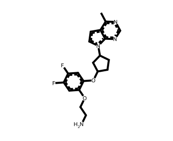 Cc1ncnc2c1ccn2C1CCC(Oc2cc(F)c(F)cc2OCCN)C1